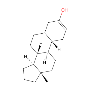 C[C@@]12CCC[C@H]1[C@@H]1CCC3CC(O)=CC[C@@H]3[C@H]1CC2